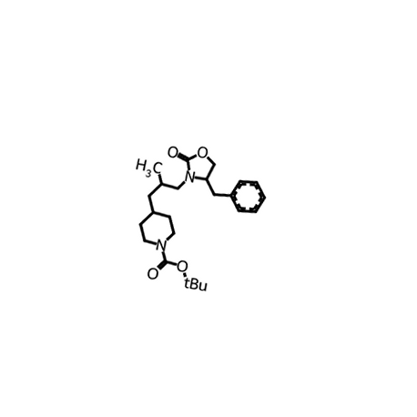 CC(CC1CCN(C(=O)OC(C)(C)C)CC1)CN1C(=O)OCC1Cc1ccccc1